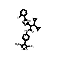 Cc1n[nH]c(C)c1-c1ccc(NC(=O)C(c2nnc(-c3ccccc3Cl)[nH]2)C(C2CC2)C2CC2)cc1